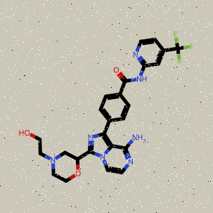 Nc1nccn2c(C3CN(CCO)CCO3)nc(-c3ccc(C(=O)Nc4cc(C(F)(F)F)ccn4)cc3)c12